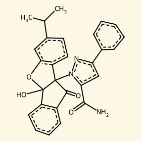 CC(C)c1ccc2c(c1)OC1(O)c3ccccc3C(=O)C21n1nc(-c2ccccc2)cc1C(N)=O